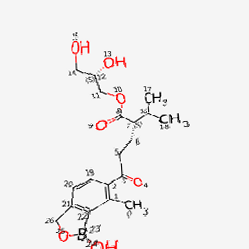 Cc1c(C(=O)CC[C@H](C(=O)OC[C@@H](O)CO)C(C)C)ccc2c1B(O)OC2